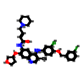 N#Cc1cnc2cc(OC3CCOC3)c(NC(=O)/C=C/CN3CCCCC3)cc2c1Nc1ccc(OCc2cccc(F)c2)c(Cl)c1